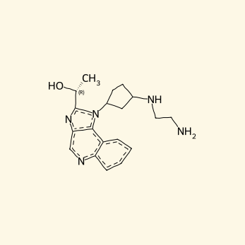 C[C@@H](O)c1nc2cnc3ccccc3c2n1C1CCC(NCCN)C1